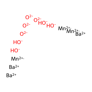 [Ba+2].[Ba+2].[Ba+2].[Mn+2].[Mn+2].[Mn+2].[O-2].[O-2].[O-2].[O-2].[OH-].[OH-].[OH-].[OH-]